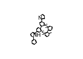 CC1CC=CC2=C1c1ccccc1Sc1cc(-c3ccccn3)ccc1-c1ccc(C3=CC=CC(c4ccccc4)N3)cc1S2